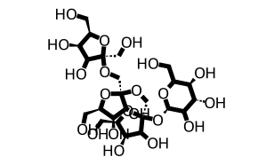 OCC1O[C@@H](O[C@]2(CO[C@]3(CO[C@]4(CO)O[C@H](CO)[C@H](O)C4O)O[C@H](CO)[C@H](O)C3O)O[C@H](CO)[C@H](O)C2O)C(O)[C@@H](O)[C@@H]1O